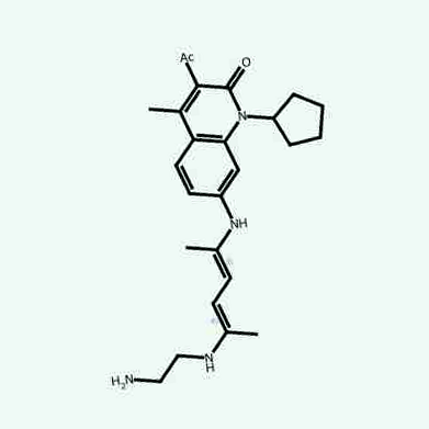 CC(=O)c1c(C)c2ccc(N/C(C)=C/C=C(\C)NCCN)cc2n(C2CCCC2)c1=O